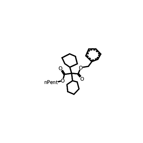 CCCCCOC(=O)C(C(=O)OCc1ccccc1)(C1CCCCC1)C1CCCCC1